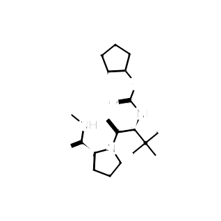 C=C([C@@H](NC(=O)OC1CCCC1)C(C)(C)C)N1CCC[C@H]1C(=O)NC